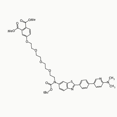 COC(=O)c1ccc(OCCOCCOCCOCCN(C(=O)OC(C)(C)C)c2ccc3nc(-c4ccc(-c5ccc(N(C)C)nc5)cc4)sc3c2)cc1C(=O)OC